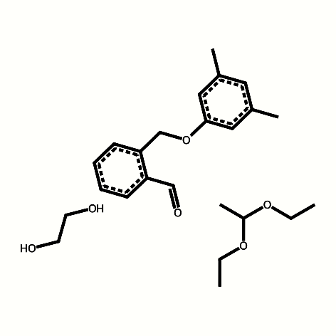 CCOC(C)OCC.Cc1cc(C)cc(OCc2ccccc2C=O)c1.OCCO